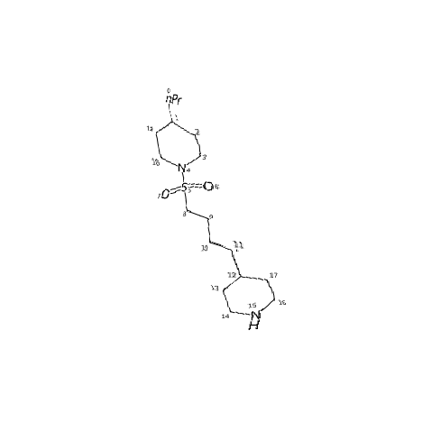 CCCC1CCN(S(=O)(=O)CCC[CH]C2CCNCC2)CC1